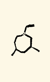 C=CN1CCC(C)C[C@H](C)C1